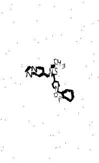 CC1=CN(Cc2ccn3ccnc3c2)C(C2CCN(C(=O)c3ccccc3F)CC2)S1